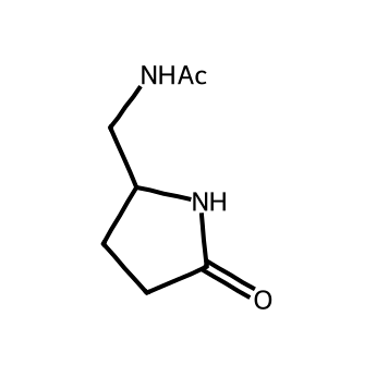 CC(=O)NCC1CCC(=O)N1